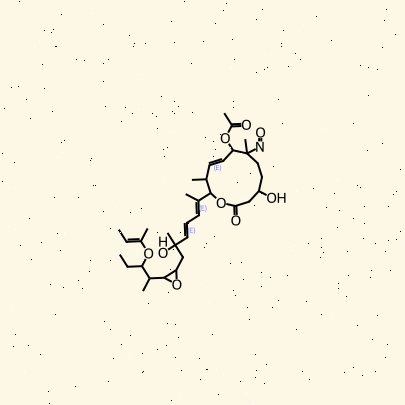 CC=C(C)OC(CC)C(C)C1OC1CC(C)(O)/C=C/C=C(\C)C1OC(=O)CC(O)CCC(C)(N=O)C(OC(C)=O)/C=C/C1C